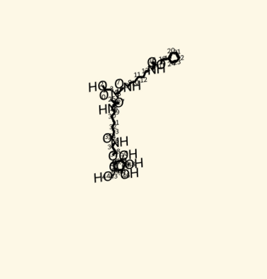 O=C(O)CN(CC(=O)NCCCCCNC(=O)OCc1ccccc1)CC(=O)NCCCCCC(=O)NCCO[C@H]1O[C@H](CO)[C@@H](O)[C@H](O)[C@@H]1O